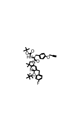 C#CCOc1ccc(C[C@H](NC(=O)OC(C)(C)C)C(=O)N2CC(C)(C)c3nc(O[Si](C)(C)C(C)(C)C)c(Cc4ccc(F)cc4)cc32)cc1